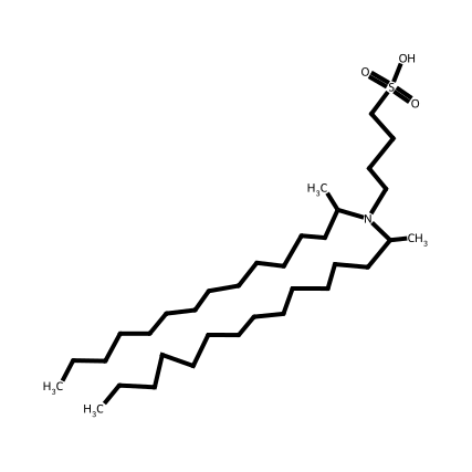 CCCCCCCCCCCCCC(C)N(CCCCS(=O)(=O)O)C(C)CCCCCCCCCCCCC